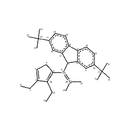 CCC1=CC[C]([Ti]([CH]2c3cc(C(C)(C)C)ccc3-c3ccc(C(C)(C)C)cc32)=[Si](C)C)=C1CC